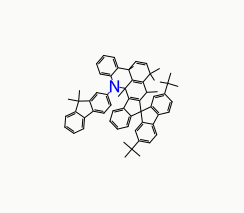 CC1C2=C3C(C)(C=CC2(C)C)c2ccccc2N(c2ccc4c(c2)C(C)(C)c2ccccc2-4)C3(C)C2=C1C1(c3ccccc32)c2cc(C(C)(C)C)ccc2-c2ccc(C(C)(C)C)cc21